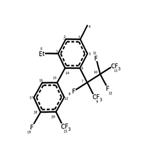 CCc1[c]c(C)cc(C(F)(C(F)(F)F)C(F)(F)C(F)(F)F)c1-c1ccc(F)c(C(F)(F)F)c1